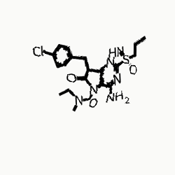 CCCS(=N)(=O)c1nc(N)c2c(n1)C(Cc1ccc(Cl)cc1)C(=O)N2C(=O)N(C)CC